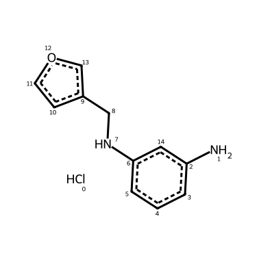 Cl.Nc1cccc(NCc2ccoc2)c1